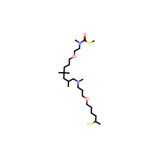 CSC(=O)N(C)CCOCCCC(C)(C)CC(C)CN(C)CCCOCCCCC(C)S